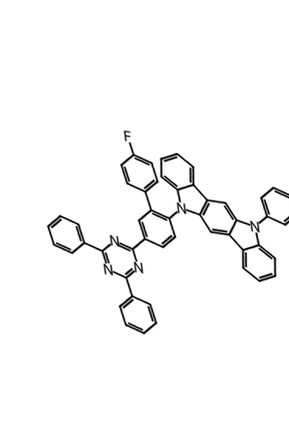 Fc1ccc(-c2cc(-c3nc(-c4ccccc4)nc(-c4ccccc4)n3)ccc2-n2c3ccccc3c3cc4c(cc32)c2ccccc2n4-c2ccccc2)cc1